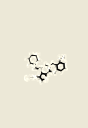 CN(Cc1ccccc1C#N)C(=O)c1scc(C=O)c1/N=C/N1CCCCC1